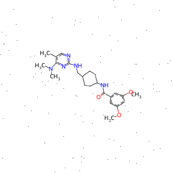 COc1cc(OC)cc(C(=O)NC2CCC(CNc3ncc(C)c(N(C)C)n3)CC2)c1